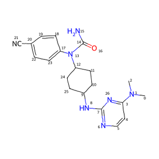 CN(C)c1ccnc(NC2CCC(N(C(N)=O)c3ccc(C#N)cc3)CC2)n1